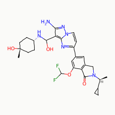 C[C@@H](C1CC1)N1Cc2cc(-c3ccn4nc(N)c(C(O)N[C@H]5CC[C@@](C)(O)CC5)c4n3)cc(OC(F)F)c2C1=O